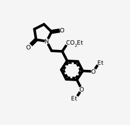 CCOC(=O)C(CN1C(=O)CCC1=O)c1ccc(OCC)c(OCC)c1